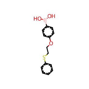 OB(O)c1ccc(OCCSc2ccccc2)cc1